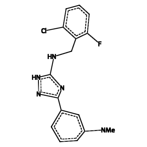 CNc1cccc(-c2n[nH]c(NCc3c(F)cccc3Cl)n2)c1